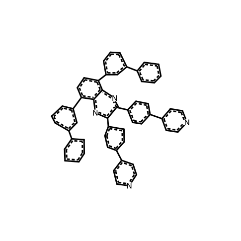 c1ccc(-c2cccc(-c3ccc(-c4cccc(-c5ccccc5)c4)c4nc(-c5ccc(-c6ccncc6)cc5)c(-c5ccc(-c6ccncc6)cc5)nc34)c2)cc1